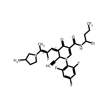 C#CC1/C(=C\C(F)=C(/C)N2CCC(N)C2)C(=O)C(C(=O)NC(CC)CCC(F)(F)F)=CN1c1c(F)cc(F)cc1F